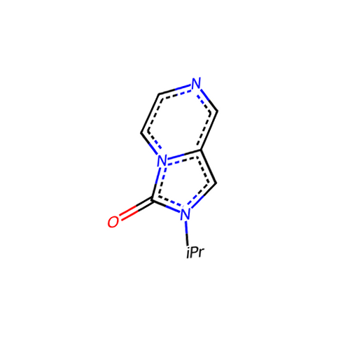 CC(C)n1cc2cnccn2c1=O